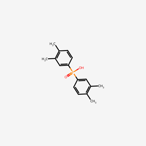 Cc1ccc(P(=O)(O)c2ccc(C)c(C)c2)cc1C